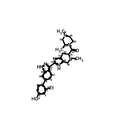 CCc1cc(O)ccc1-c1ccc2c(-c3nc4c([nH]3)CN(C)C(C(=O)N3CCN(C)CC3C)C4)n[nH]c2c1